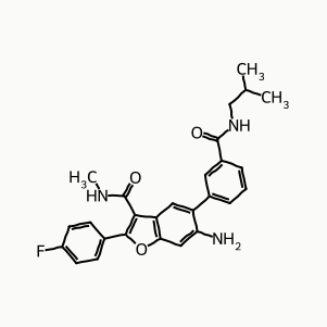 CNC(=O)c1c(-c2ccc(F)cc2)oc2cc(N)c(-c3cccc(C(=O)NCC(C)C)c3)cc12